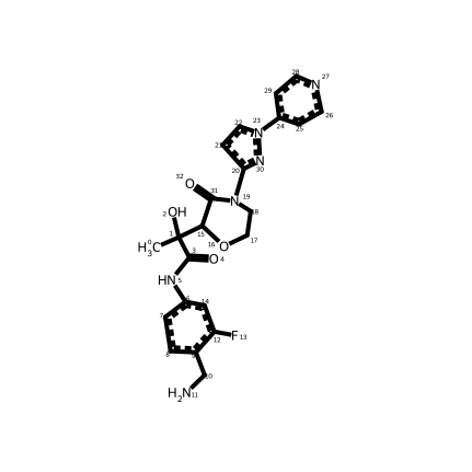 CC(O)(C(=O)Nc1ccc(CN)c(F)c1)C1OCCN(c2ccn(-c3ccncc3)n2)C1=O